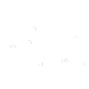 CC(C)(C)NC(=O)c1cnn(C(C)(C)C)c1C(F)(F)F